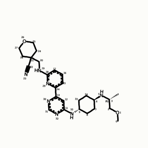 COC[C@@H](C)N[C@H]1CC[C@H](Nc2cc(-c3cccc(NCC4(C#N)CCOCC4)n3)ncn2)CC1